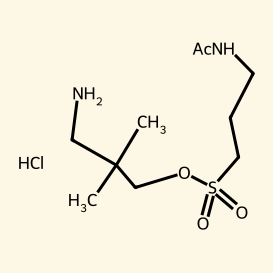 CC(=O)NCCCS(=O)(=O)OCC(C)(C)CN.Cl